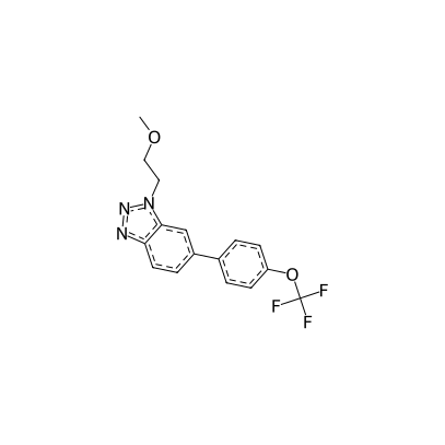 COCCn1nnc2ccc(-c3ccc(OC(F)(F)F)cc3)cc21